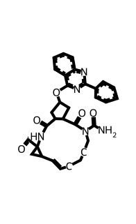 NC(=O)N1CCCC/C=C/C2CC2([C]=O)NC(=O)C2CC(Oc3nc(-c4ccccc4)nc4ccccc34)CC2C1=O